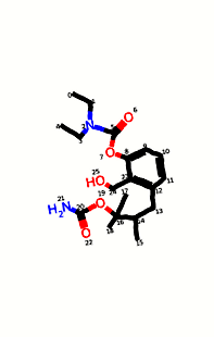 CCN(CC)C(=O)Oc1cccc(CC(C)C(C)(C)OC(N)=O)c1CO